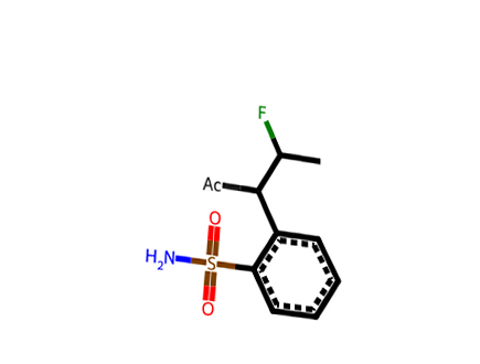 CC(=O)C(c1ccccc1S(N)(=O)=O)C(C)F